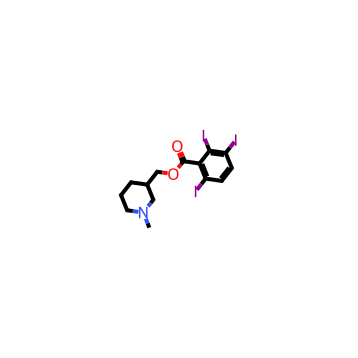 CN1CCCC(COC(=O)c2c(I)ccc(I)c2I)C1